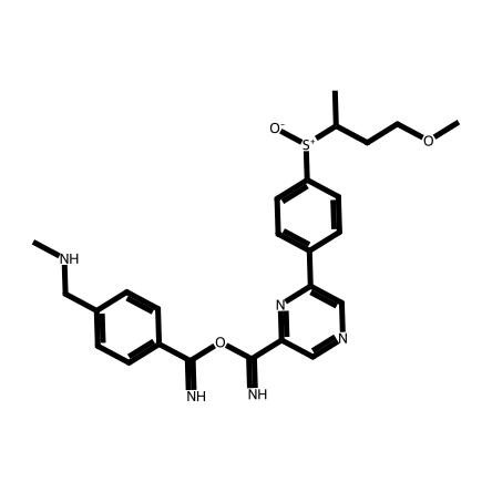 CNCc1ccc(C(=N)OC(=N)c2cncc(-c3ccc([S+]([O-])C(C)CCOC)cc3)n2)cc1